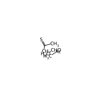 CC(C)=O.CC(C)=S.CC=O